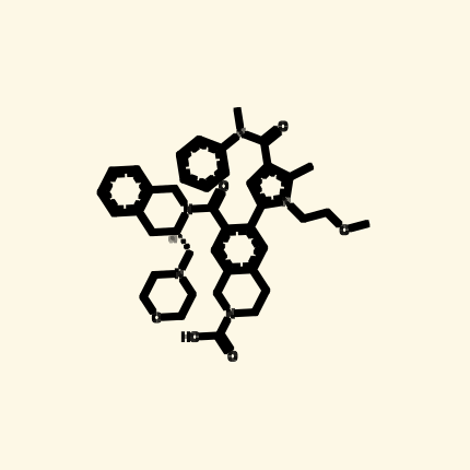 COCCn1c(-c2cc3c(cc2C(=O)N2Cc4ccccc4C[C@H]2CN2CCOCC2)CN(C(=O)O)CC3)cc(C(=O)N(C)c2ccccc2)c1C